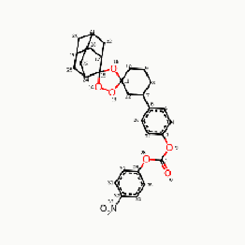 O=C(Oc1ccc(C2CCCC3(C2)OOC2(O3)C3CC4CC(C3)CC2C4)cc1)Oc1ccc([N+](=O)[O-])cc1